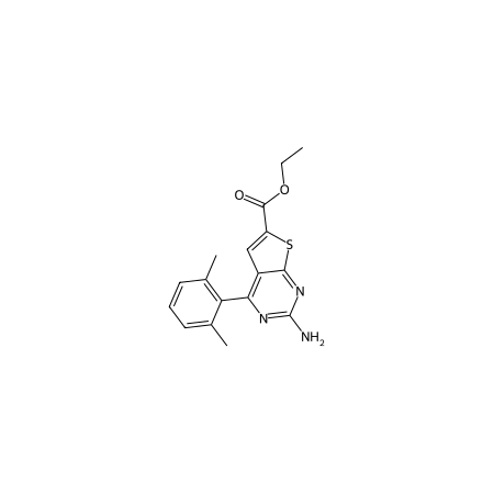 CCOC(=O)c1cc2c(-c3c(C)cccc3C)nc(N)nc2s1